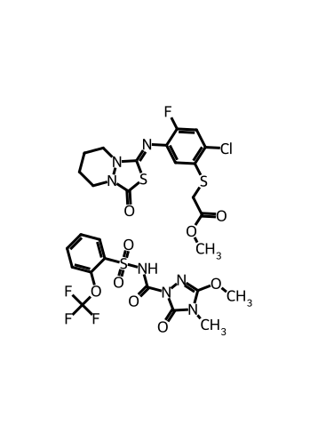 COC(=O)CSc1cc(/N=c2\sc(=O)n3n2CCCC3)c(F)cc1Cl.COc1nn(C(=O)NS(=O)(=O)c2ccccc2OC(F)(F)F)c(=O)n1C